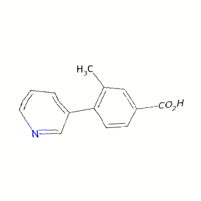 Cc1cc(C(=O)O)ccc1-c1cccnc1